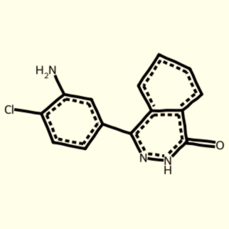 Nc1cc(-c2n[nH]c(=O)c3ccccc23)ccc1Cl